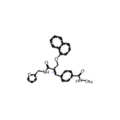 O=C(NCc1ccco1)/C(=C/c1ccc(C(=O)NO)cc1)COc1cccc2ccccc12